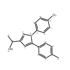 Cc1ccc(-c2cc(C(C)O)nn2-c2ccc(Cl)cc2)cc1